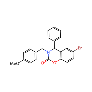 COc1ccc(CN2C(=O)Oc3ccc(Br)cc3C2c2ccccc2)cc1